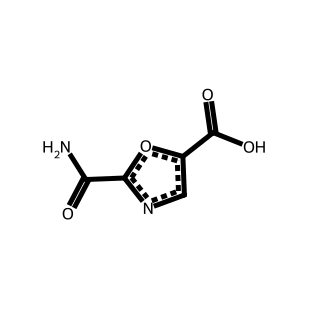 NC(=O)c1ncc(C(=O)O)o1